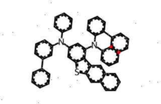 c1ccc(-c2cccc(N(c3ccccc3)c3cc(N(c4ccccc4)c4ccccc4-c4ccccc4)c4c(c3)sc3cc5ccccc5cc34)c2)cc1